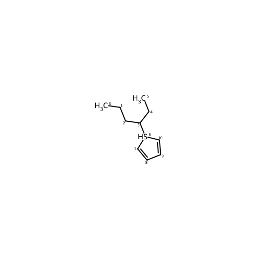 CCCC(CC)[SH]1C=CC=C1